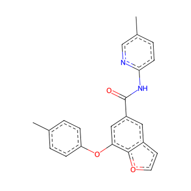 Cc1ccc(Oc2cc(C(=O)Nc3ccc(C)cn3)cc3ccoc23)cc1